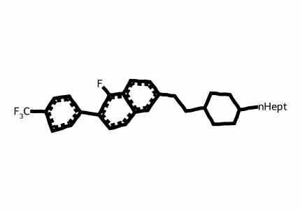 CCCCCCCC1CCC(CCc2ccc3c(F)c(-c4ccc(C(F)(F)F)cc4)ccc3c2)CC1